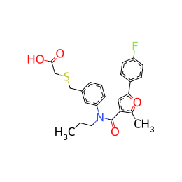 CCCN(C(=O)c1cc(-c2ccc(F)cc2)oc1C)c1cccc(CSCC(=O)O)c1